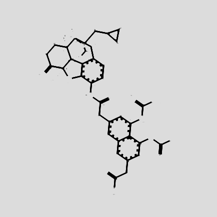 CC(=O)Oc1cc(CC(=O)O)cc2cc(CC(=O)Oc3ccc4c5c3O[C@H]3C(=O)CC[C@@]6(O)[C@@H](C4)N(CC4CC4)CC[C@]536)cc(OC(C)=O)c12